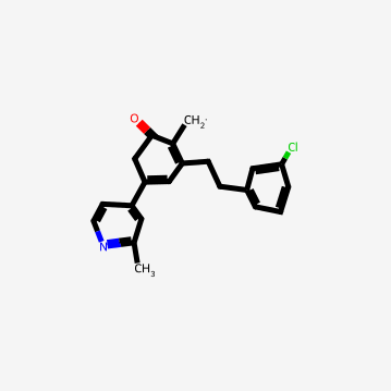 [CH2]C1=C(CCc2cccc(Cl)c2)C=C(c2ccnc(C)c2)CC1=O